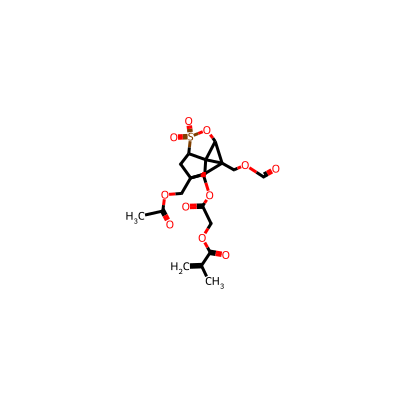 C=C(C)C(=O)OCC(=O)OC1C2(COC(C)=O)CC3C4(C2)C(OS3(=O)=O)C14COC=O